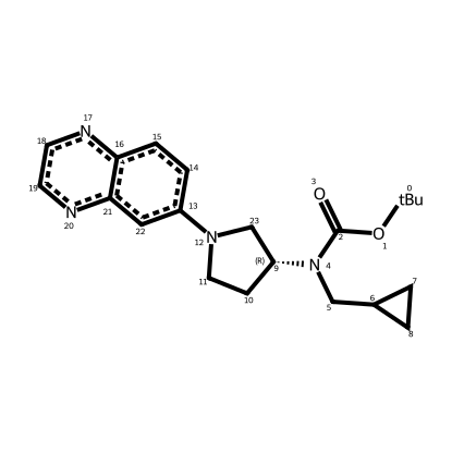 CC(C)(C)OC(=O)N(CC1CC1)[C@@H]1CCN(c2ccc3nccnc3c2)C1